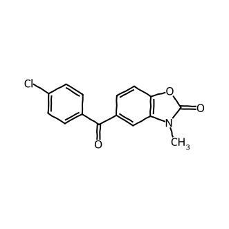 Cn1c(=O)oc2ccc(C(=O)c3ccc(Cl)cc3)cc21